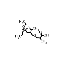 CCO[Si](CCCSCC(C)C(=O)O)(OCC)OCC